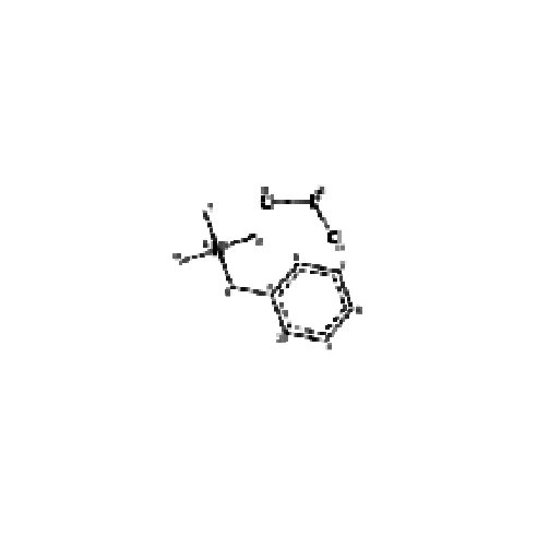 C[N+](C)(C)Cc1ccccc1.Cl[I+]Cl